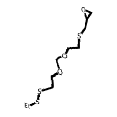 CCSSCCOCOCCSCC1CO1